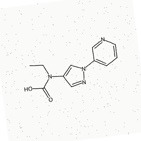 CCN(C(=O)O)c1cnn(-c2cccnc2)c1